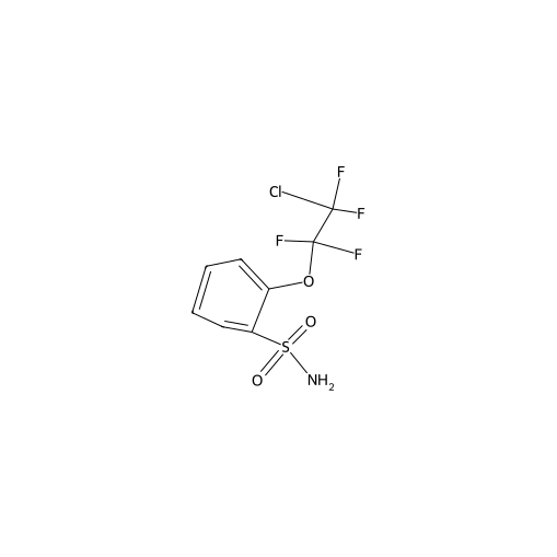 NS(=O)(=O)c1ccccc1OC(F)(F)C(F)(F)Cl